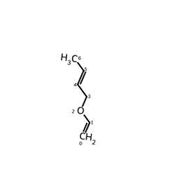 C=COC/C=C/C